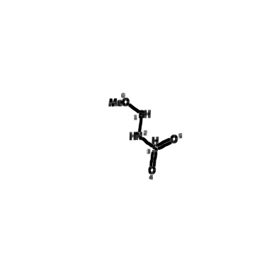 COBN[SH](=O)=O